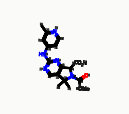 COC(=O)N1C(C(=O)O)c2nc(Nc3ccnc(C)c3)ncc2C1(C)C